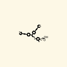 Cc1cc(SCC=C(c2ccc(C#Cc3ccsc3)cc2)c2ccc(C#Cc3ccsc3)cc2)ccc1OCC(=O)O